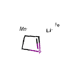 C1=PCC1.[Fe].[Li].[Mn]